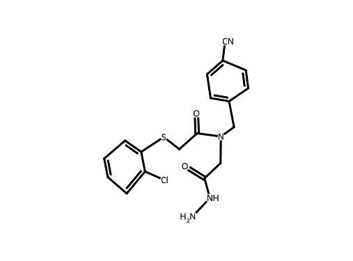 N#Cc1ccc(CN(CC(=O)NN)C(=O)CSc2ccccc2Cl)cc1